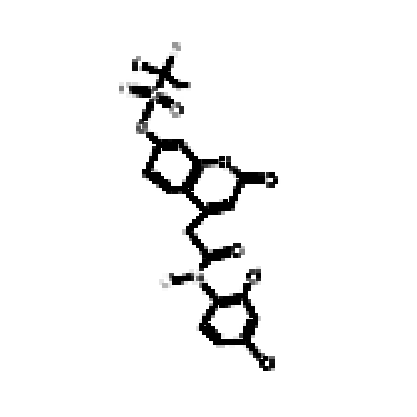 O=C(Cc1cc(=O)oc2cc(OS(=O)(=O)C(F)(F)F)ccc12)N(Cl)c1ccc(Cl)cc1Cl